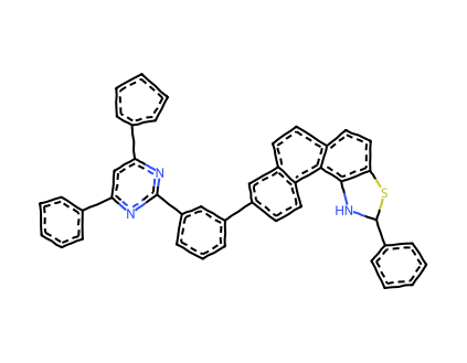 c1ccc(-c2cc(-c3ccccc3)nc(-c3cccc(-c4ccc5c(ccc6ccc7c(c65)NC(c5ccccc5)S7)c4)c3)n2)cc1